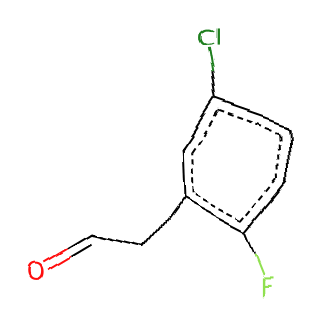 O=CCc1cc(Cl)ccc1F